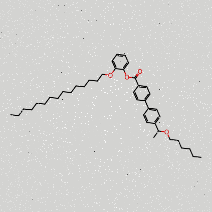 CCCCCCCCCCCCCCCOc1ccccc1OC(=O)c1ccc(-c2ccc(C(C)OCCCCCC)cc2)cc1